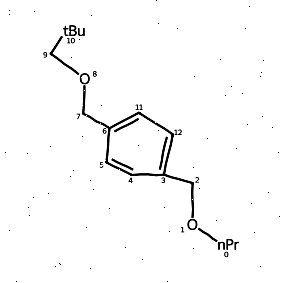 CCCOCc1ccc(COCC(C)(C)C)cc1